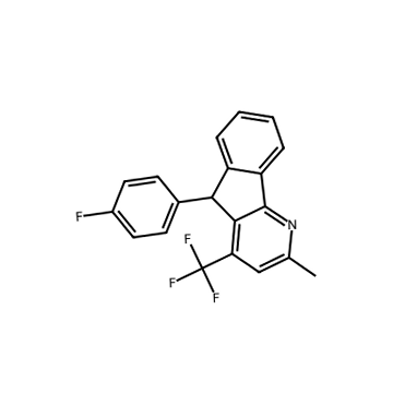 Cc1cc(C(F)(F)F)c2c(n1)-c1ccccc1C2c1ccc(F)cc1